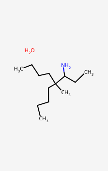 CCCCC(C)(CCCC)C(N)CC.O